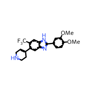 COc1ccc(-c2nc3cc(C4=CCNCC4)c(C(F)(F)F)cc3[nH]2)cc1OC